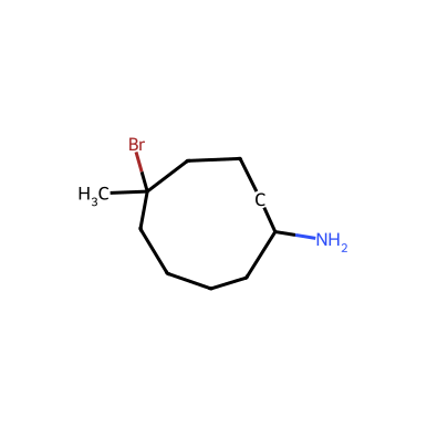 CC1(Br)CCCCC(N)CCC1